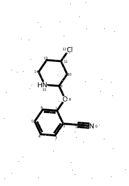 N#Cc1ccccc1OC1CC(Cl)CCN1